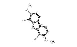 COc1ccc2c(oc3c(F)c(OC)ccc32)c1F